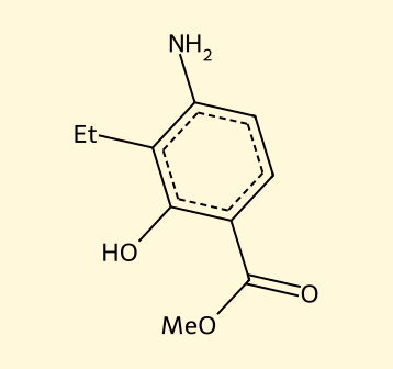 CCc1c(N)ccc(C(=O)OC)c1O